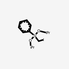 CC(C)O[Si](CI)(OC(C)C)c1ccccc1